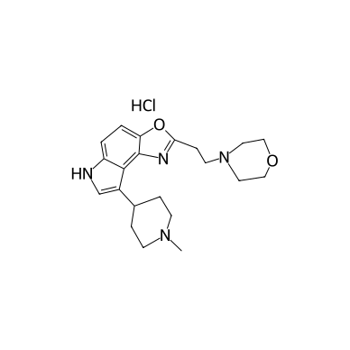 CN1CCC(c2c[nH]c3ccc4oc(CCN5CCOCC5)nc4c23)CC1.Cl